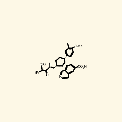 COc1ccc([C@H]2CC[C@H](CNC(=O)C(C(C)C)C(C)(C)C)CC2)cc1C.O=C(O)c1ccc2cnccc2c1